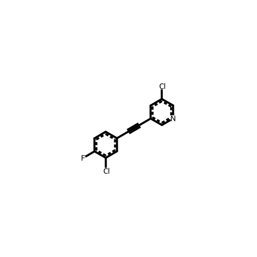 Fc1ccc(C#Cc2cncc(Cl)c2)cc1Cl